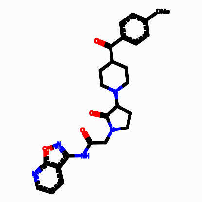 COc1ccc(C(=O)C2CCN(C3CCN(CC(=O)Nc4noc5ncccc45)C3=O)CC2)cc1